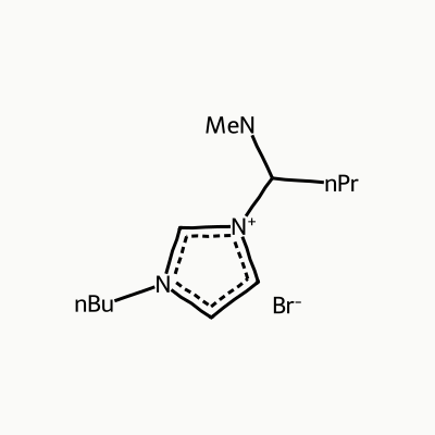 CCCCn1cc[n+](C(CCC)NC)c1.[Br-]